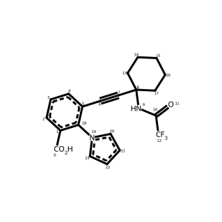 O=C(O)c1cccc(C#CC2(NC(=O)C(F)(F)F)CCCCC2)c1-n1cccc1